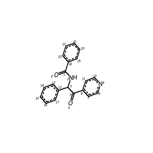 O=C(NC(C(=O)c1ccncc1)c1ccccc1)c1ccccc1